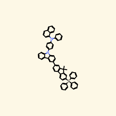 CC1(C)c2cc(-c3ccc4c(c3)c3ccccc3n4-c3ccc(N(c4ccccc4)c4cccc5ccccc45)cc3)ccc2-c2ccc([Si](c3ccccc3)(c3ccccc3)c3ccccc3)cc21